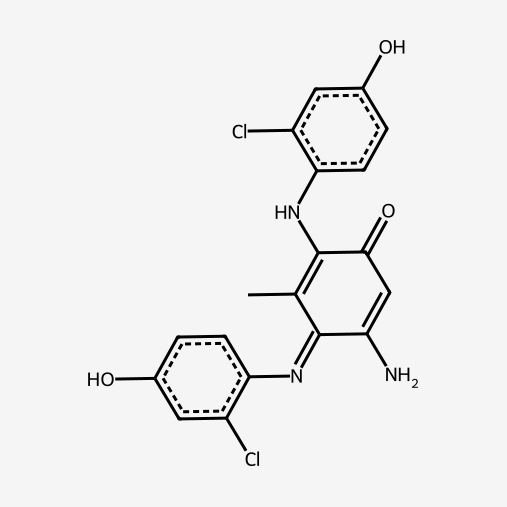 CC1=C(Nc2ccc(O)cc2Cl)C(=O)C=C(N)C1=Nc1ccc(O)cc1Cl